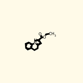 CCOC(=O)c1cc2n(n1)-c1ccccc1CC2